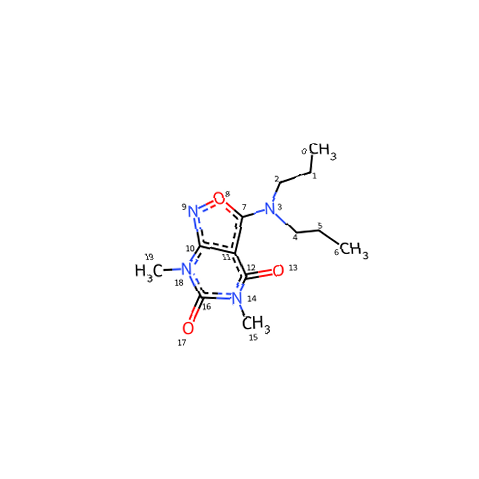 CCCN(CCC)c1onc2c1c(=O)n(C)c(=O)n2C